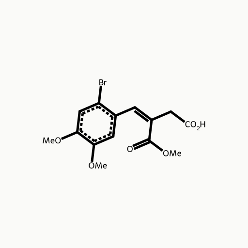 COC(=O)C(=Cc1cc(OC)c(OC)cc1Br)CC(=O)O